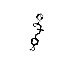 COc1ccc(CCC(C)(C)CC(=O)n2ccnc2)cc1